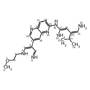 COCCN/C=C(\C=N)c1cnc2ccc(N/C(N)=C/C(=C\N)C(C)C)nc2c1